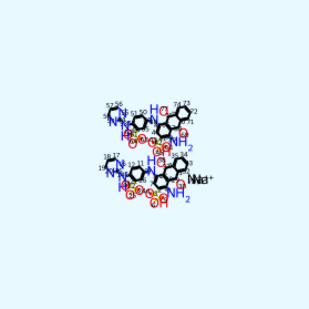 Nc1c(S(=O)(=O)O)cc(Nc2ccc(Nc3ncccn3)c(S(=O)(=O)[O-])c2)c2c1C(=O)c1ccccc1C2=O.Nc1c(S(=O)(=O)O)cc(Nc2ccc(Nc3ncccn3)c(S(=O)(=O)[O-])c2)c2c1C(=O)c1ccccc1C2=O.[Na+].[Na+]